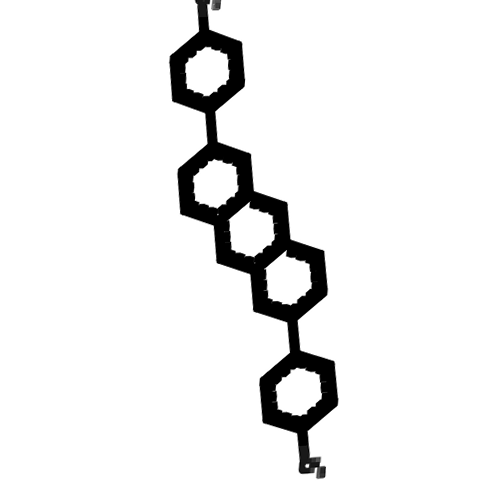 FC(F)(F)c1ccc(-c2ccc3cc4cc(-c5ccc(C(F)(F)F)cc5)ccc4cc3c2)cc1